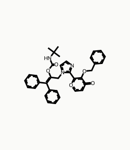 CC(C)(C)NC(=O)OC(Cn1ccnc1-c1occc(=O)c1OCc1ccccc1)=C(c1ccccc1)c1ccccc1